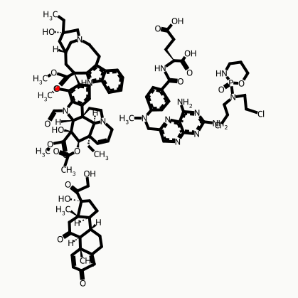 CC[C@]1(O)C[C@@H]2CN(CCc3c([nH]c4ccccc34)[C@@](C(=O)OC)(c3ccc4c(c3OC)N(C=O)[C@H]3[C@@](O)(C(=O)OC)[C@H](OC(C)=O)[C@]5(CC)C=CCN6CC[C@]43[C@@H]65)C2)C1.CN(Cc1cnc2nc(N)nc(N)c2n1)c1ccc(C(=O)N[C@@H](CCC(=O)O)C(=O)O)cc1.C[C@]12C=CC(=O)C=C1CC[C@@H]1[C@@H]2C(=O)C[C@@]2(C)[C@H]1CC[C@]2(O)C(=O)CO.O=P1(N(CCCl)CCCl)NCCCO1